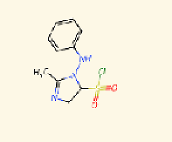 CC1=NCC(S(=O)(=O)Cl)N1Nc1ccccc1